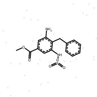 COC(=O)c1cc(N)c(Cc2ccccc2)c(N[SH](=O)=O)c1